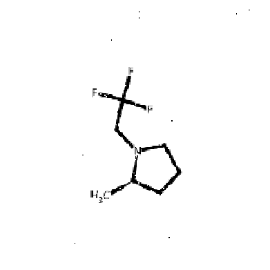 C[C@@H]1CCCN1CC(F)(F)F